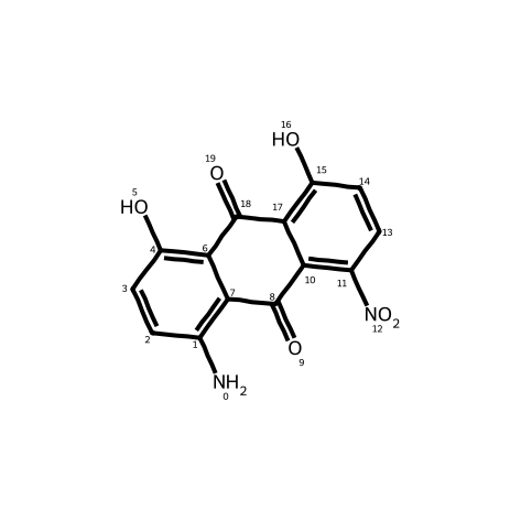 Nc1ccc(O)c2c1C(=O)c1c([N+](=O)[O-])ccc(O)c1C2=O